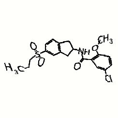 CCCS(=O)(=O)c1ccc2c(c1)CC(NC(=O)c1cc(Cl)ccc1OC)C2